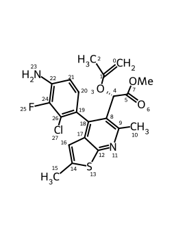 C=C(C)O[C@H](C(=O)OC)c1c(C)nc2sc(C)cc2c1-c1ccc(N)c(F)c1Cl